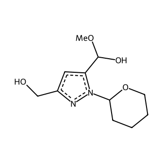 COC(O)c1cc(CO)nn1C1CCCCO1